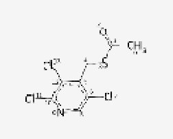 CC(=O)SCc1c(Cl)cnc(Cl)c1Cl